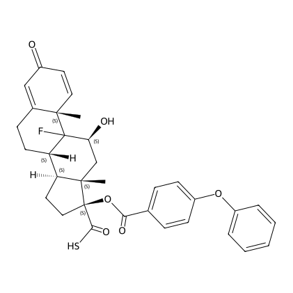 C[C@]12C=CC(=O)C=C1CC[C@H]1[C@@H]3CC[C@@](OC(=O)c4ccc(Oc5ccccc5)cc4)(C(=O)S)[C@@]3(C)C[C@H](O)C12F